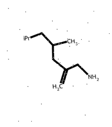 C=C(CN)CC(C)CC(C)C